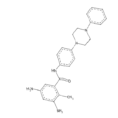 Cc1c(N)cc(N)cc1C(=O)Nc1ccc(N2CCN(c3ccccc3)CC2)cc1